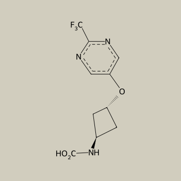 O=C(O)N[C@H]1C[C@H](Oc2cnc(C(F)(F)F)nc2)C1